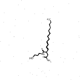 CCCCCCCCCCC=CC(CC(N)=O)C(=O)NCCCO